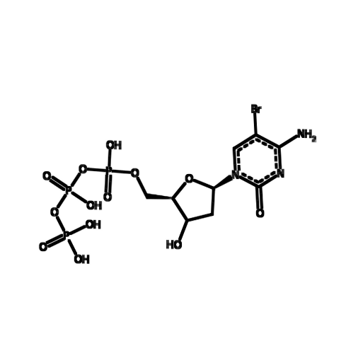 Nc1nc(=O)n([C@H]2CC(O)[C@@H](COP(=O)(O)OP(=O)(O)OP(=O)(O)O)O2)cc1Br